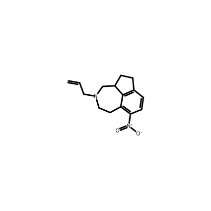 C=CCN1CCc2c([N+](=O)[O-])ccc3c2C(CC3)C1